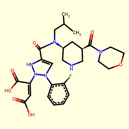 CC(C)CN(C(=O)C1=CN(c2ccccc2F)N(/C(=C/C(=O)O)C(=O)O)N1)[C@@H]1CNC[C@H](C(=O)N2CCOCC2)C1